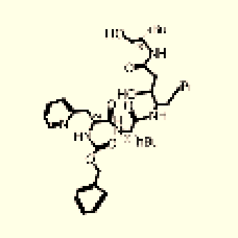 CCCC[C@H](NC(=O)[C@H](Cc1ccccn1)NC(=O)OCc1ccccc1)C(=O)NC(CC(C)C)C(O)CC(=O)N[C@H](CO)C(C)CC